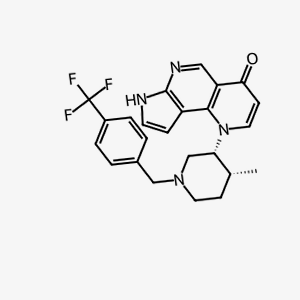 C[C@@H]1CCN(Cc2ccc(C(F)(F)F)cc2)C[C@@H]1n1ccc(=O)c2cnc3[nH]ccc3c21